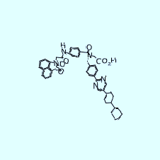 O=C(O)CN(Cc1ccc(-c2ncc(C3=CCC(C4CCCCC4)CC3)cn2)cc1)C(=O)c1ccc(NC(=O)CN2c3cccc4cccc(c34)S2(=O)=O)cc1